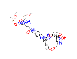 CCOC(C)SCC(=O)NCC(CCC(=O)NCc1ccc(CNC(=O)[C@@H]2Cc3ccc(cc3)OCCC[C@H](C(=O)NO)[C@@H](CC(C)C)C(=O)N2)cc1)NC(=O)CSC(C)OCC